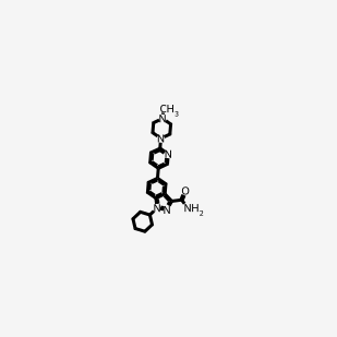 CN1CCN(c2ccc(-c3ccc4c(c3)c(C(N)=O)nn4C3CCCCC3)cn2)CC1